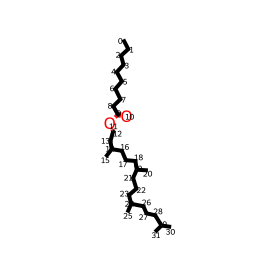 CCCCCCCCCC(=O)OCCC(C)CCCC(C)CCCC(C)CCCC(C)C